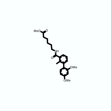 COC(=O)CCCCCNC(=O)c1cccc(-c2ccc(OC)cc2OC)c1C